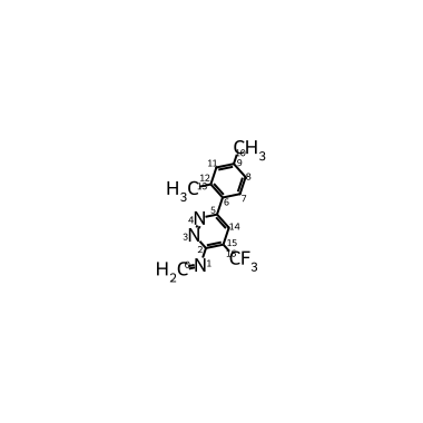 C=Nc1nnc(-c2ccc(C)cc2C)cc1C(F)(F)F